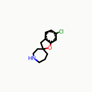 Clc1ccc2c(c1)OC1(CCCNCC1)C2